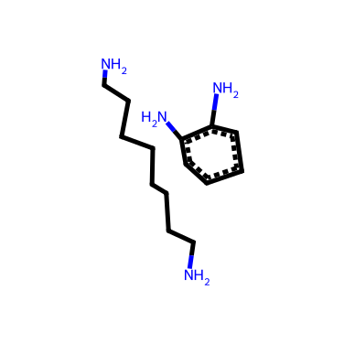 NCCCCCCCCN.Nc1ccccc1N